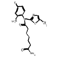 Cc1cnc(N(C(=O)CCCCCC(N)=O)c2ccc(F)cc2N)o1